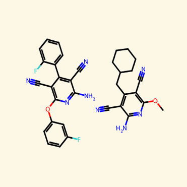 COc1nc(N)c(C#N)c(CC2CCCCC2)c1C#N.N#Cc1c(N)nc(Oc2cccc(F)c2)c(C#N)c1-c1ccccc1F